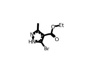 CCOC(=O)c1c(C)n[nH]c1Br